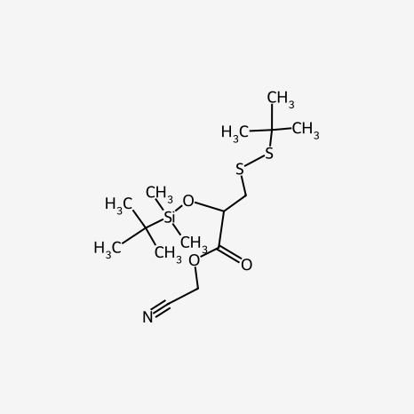 CC(C)(C)SSCC(O[Si](C)(C)C(C)(C)C)C(=O)OCC#N